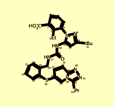 CCc1c(C(=O)O)cccc1-n1nc(C(C)(C)C)cc1NC(=O)NCc1ccccc1Sc1ccc2nnc(C(C)C)n2c1